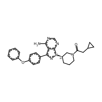 Nc1ncnc2c1c(-c1ccc(Oc3ccccc3)cc1)nn2[C@@H]1CCCN(C(=O)CC2CC2)C1